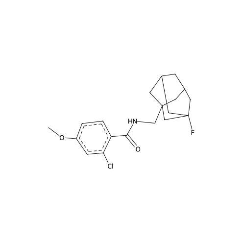 COc1ccc(C(=O)NCC23CC4CC(CC(F)(C4)C2)C3)c(Cl)c1